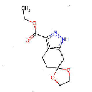 CCOC(=O)c1n[nH]c2c1CCC1(C2)OCCO1